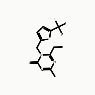 CCc1nc(C)nc(=O)n1Cc1ccc(C(F)(F)F)s1